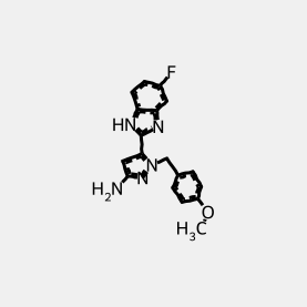 COc1ccc(Cn2nc(N)cc2-c2nc3cc(F)ccc3[nH]2)cc1